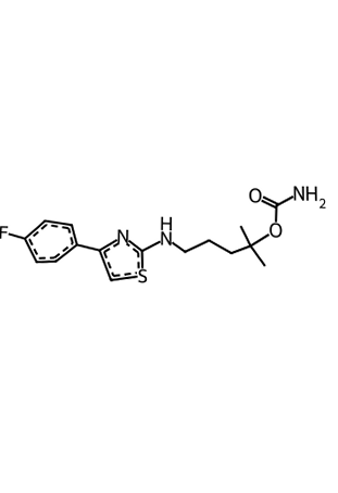 CC(C)(CCCNc1nc(-c2ccc(F)cc2)cs1)OC(N)=O